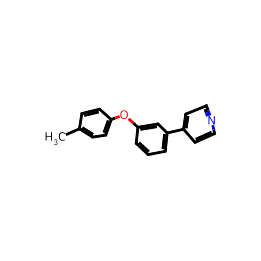 Cc1ccc(Oc2cccc(-c3ccncc3)c2)cc1